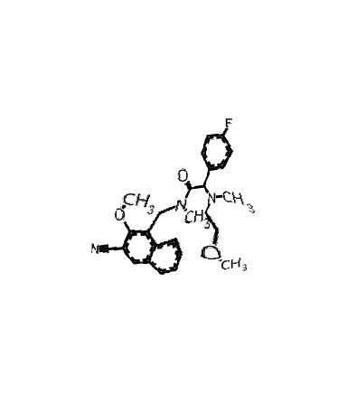 COCCN(C)C(C(=O)N(C)Cc1c(OC)c(C#N)cc2ccccc12)c1ccc(F)cc1